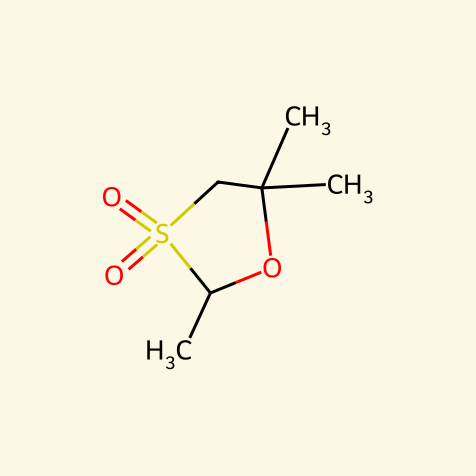 CC1OC(C)(C)CS1(=O)=O